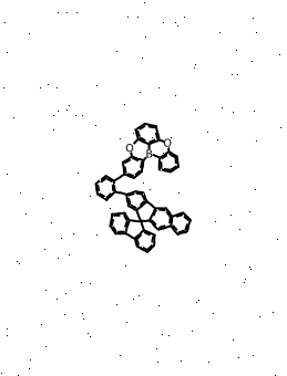 c1ccc2c(c1)Oc1cccc3c1B2c1ccc(-c2ccccc2-c2ccc4c(c2)C2(c5ccccc5-c5ccccc52)c2cc5ccccc5cc2-4)cc1O3